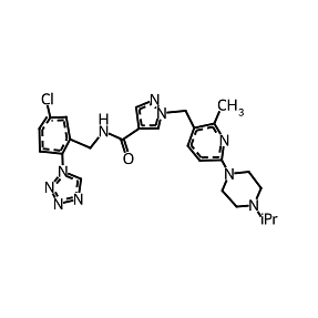 Cc1nc(N2CCN(C(C)C)CC2)ccc1Cn1cc(C(=O)NCc2cc(Cl)ccc2-n2cnnn2)cn1